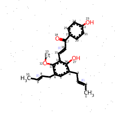 C/C=C/Cc1cc(C/C=C/C)c(OCC)c(/C=C/C(=O)c2ccc(O)cc2)c1O